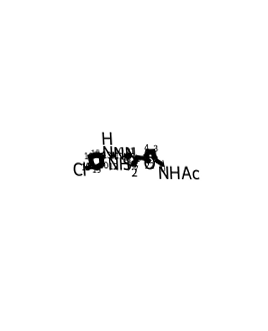 CC(=O)NCc1ccc(-c2csc(/N=C(\N)Nc3ccc(Cl)cc3)n2)o1